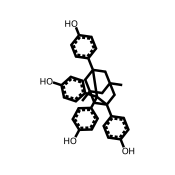 CC12CC3(C)CC(c4ccc(O)cc4)(C1)C(c1ccc(O)cc1)(c1ccc(O)cc1)C(c1ccc(O)cc1)(C2)C3